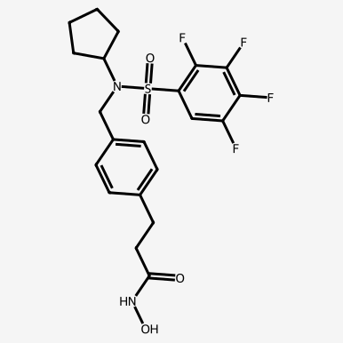 O=C(CCc1ccc(CN(C2CCCC2)S(=O)(=O)c2cc(F)c(F)c(F)c2F)cc1)NO